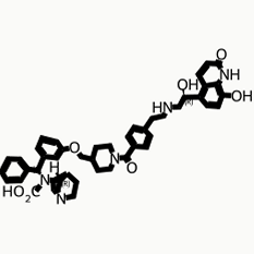 O=C(c1ccc(CCNC[C@H](O)c2ccc(O)c3[nH]c(=O)ccc23)cc1)N1CCC(COc2cccc([C@H](c3ccccc3)N(C(=O)O)[C@H]3CN4CCC3CC4)c2)CC1